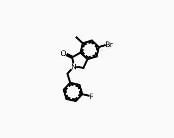 Cc1cc(Br)cc2c1C(=O)N(Cc1cccc(F)c1)C2